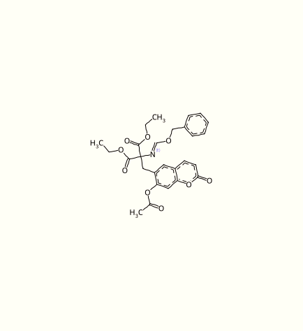 CCOC(=O)C(Cc1cc2ccc(=O)oc2cc1OC(C)=O)(/N=C/OCc1ccccc1)C(=O)OCC